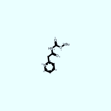 CC(C)(C)OC(=O)NC(=O)Cc1ccccn1